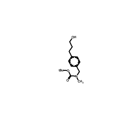 CN(Cc1ccc(CCCO)cc1)C(=O)OC(C)(C)C